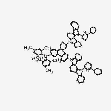 Cc1cc(C)c(B(c2ccc3c4ccc(-n5c6ccccc6c6c5ccc5c7ccccc7n(-c7cccc(-c8ccccc8)n7)c56)cc4c4cc(-n5c6ccccc6c6c5ccc5c7ccccc7n(-c7cccc(-c8ccccc8)n7)c56)ccc4c3c2)c2c(C)cc(C)cc2C)c(C)c1